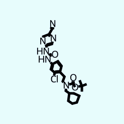 CC(C)(C)OC(=O)N(CCc1ccc(NC(=O)Nc2cnc(C#N)cn2)cc1Cl)CC1CCCCC1